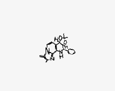 Cc1nc2c3c(ccn2c1C)[C@@H]1OC(C)(C)O[C@@H]1[C@@H](c1ccccc1)N3